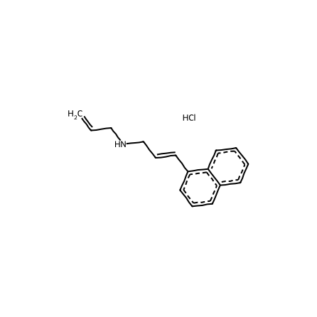 C=CCNCC=Cc1cccc2ccccc12.Cl